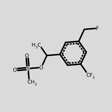 CC(OS(C)(=O)=O)c1cc(CF)cc(C(F)(F)F)c1